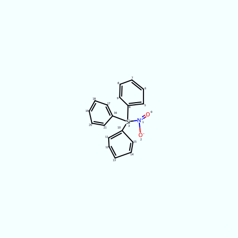 O=[N+]([O-])[Si](c1ccccc1)(c1ccccc1)c1ccccc1